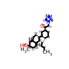 CCCC[C@H]1[C@H]([C@@H]2CCC[C@H](C(=O)Cn3cnnn3)C2)CC[C@@H]2C[C@](C)(O)CC[C@@H]21